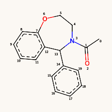 CC(=O)N1CCOc2ccccc2C1c1ccccc1